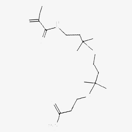 C=C(C)C(=O)NCCC(C)(C)OCCC(C)(C)OCCC(=O)NC